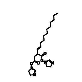 CCCCCCCCCCC=CC(CC(=O)ON1C=NCC1)C(=O)ON1C=NCC1